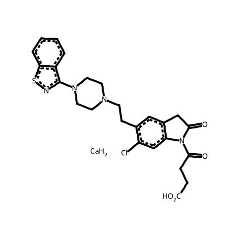 O=C(O)CCC(=O)N1C(=O)Cc2cc(CCN3CCN(c4nsc5ccccc45)CC3)c(Cl)cc21.[CaH2]